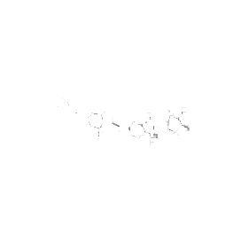 C=CCOc1ccc(C#Cc2ccc(C(F)(F)Oc3cc(F)c(F)c(F)c3)c(F)c2)c(F)c1